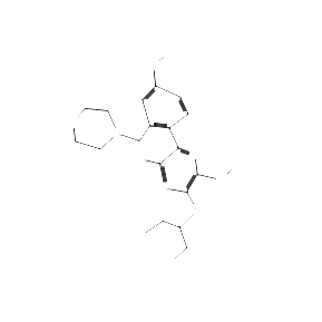 CCC(CC)Nc1nc(C)c(-c2ccc(OC)cc2CN2CCOCC2)nc1OC